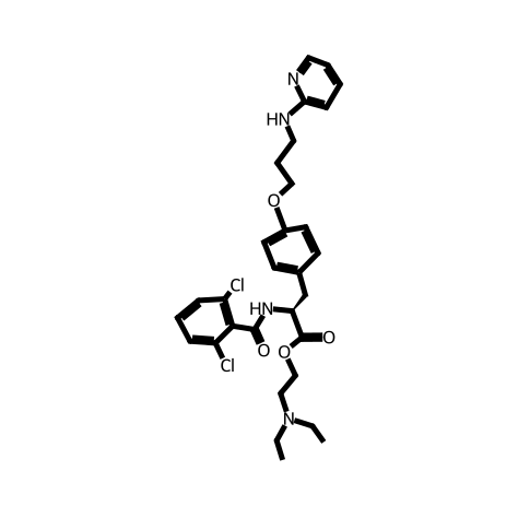 CCN(CC)CCOC(=O)[C@H](Cc1ccc(OCCCNc2ccccn2)cc1)NC(=O)c1c(Cl)cccc1Cl